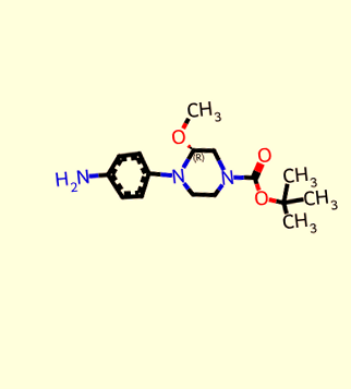 CO[C@@H]1CN(C(=O)OC(C)(C)C)CCN1c1ccc(N)cc1